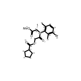 COC(=O)[C@H](C)N(C(=O)CSC(=O)C1CCCC1)c1c(C)ccc(Br)c1C